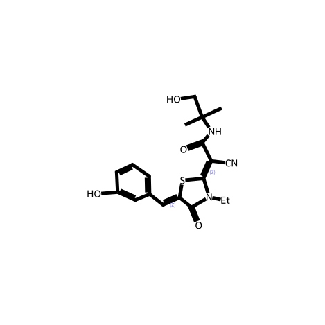 CCn1c(=O)/c(=C/c2cccc(O)c2)s/c1=C(/C#N)C(=O)NC(C)(C)CO